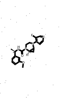 COc1cccc([C@@H](C)NC(=O)N2CCN(c3ccncc3F)C3C[C@H]32)c1